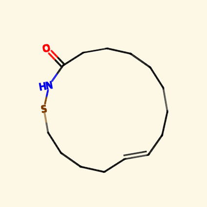 O=C1CCCCCCC/C=C/CCCCSN1